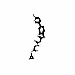 O=C(Cc1nc2ccc(-c3ccc(F)nc3)cc2s1)NCC(=O)NC1CC1